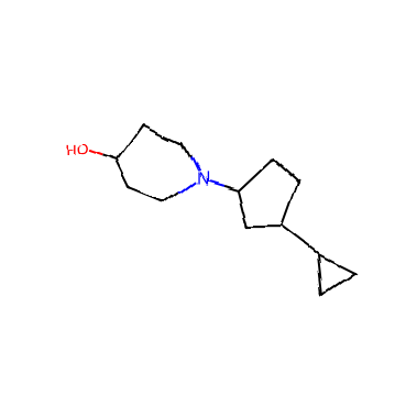 OC1CCN(C2CCC(C3CC3)C2)CC1